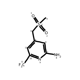 CS(=O)(=O)Cc1cc(N)nc(C(F)(F)F)c1